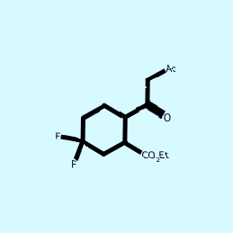 CCOC(=O)C1CC(F)(F)CCC1C(=O)CC(C)=O